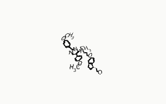 COc1ccc(-c2ncc(-c3ccc(OC)cc3)c(N(C)CCCOc3ccc4c(c3)CC[C@H]4CC=O)n2)cc1